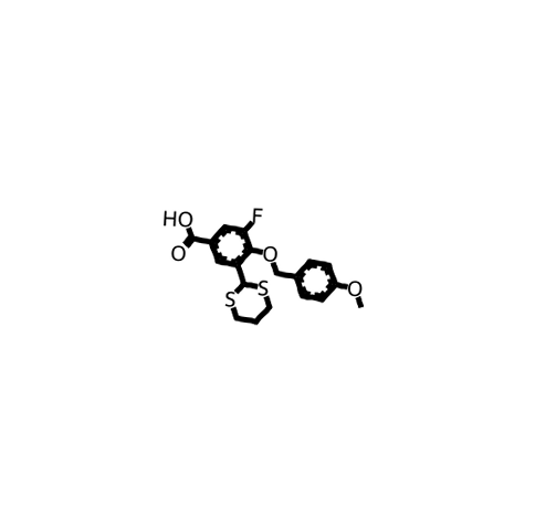 COc1ccc(COc2c(F)cc(C(=O)O)cc2C2SCCCS2)cc1